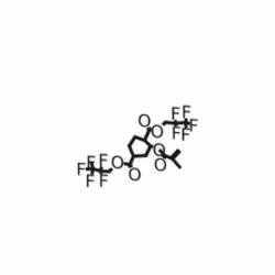 C=C(C)C(=O)OC1CC(C(=O)OCC(F)(F)C(F)(F)F)CCC1C(=O)OCC(F)(F)C(F)(F)F